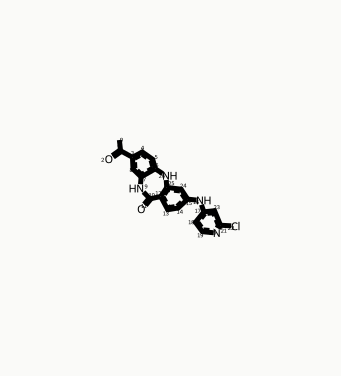 CC(=O)c1ccc2c(c1)NC(=O)c1ccc(Nc3ccnc(Cl)c3)cc1N2